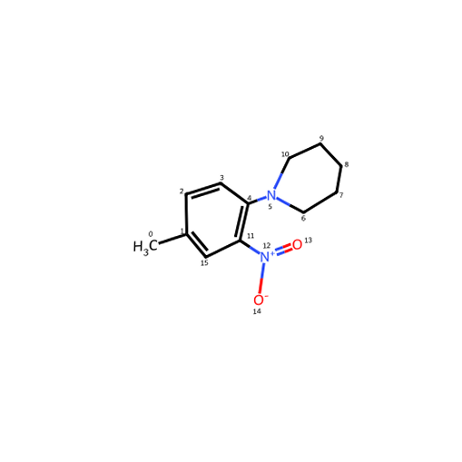 Cc1ccc(N2CCCCC2)c([N+](=O)[O-])c1